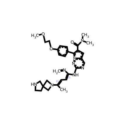 C=N/C(=C\C=C(/C)N1CC2(CCNC2)C1)Nc1ncc2cc(C(=O)N(C)C)c(-c3ccc(OCCOC)cc3)n2n1